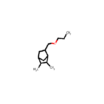 CCCOCC1CC2CC1C(C)C2C